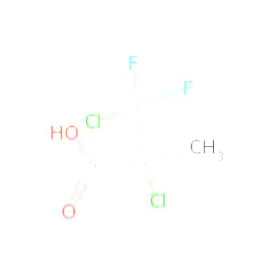 CC(Cl)(C(=O)O)C(F)(F)Cl